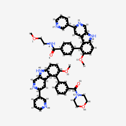 COCCNC(=O)c1ccc(-c2c(OC)ccc3[nH]c4cnc(-c5cccnc5)cc4c23)cc1.COc1ccc2[nH]c3cnc(-c4cccnc4)cc3c2c1-c1cccc(C(=O)N2CCOCC2)c1